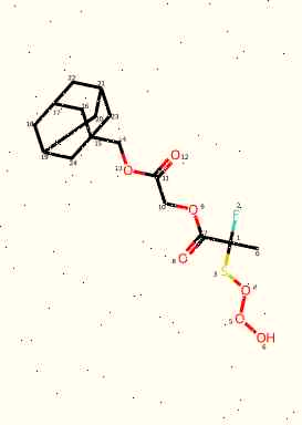 CC(F)(SOOO)C(=O)OCC(=O)OCC12CC3CC(CC(C3)C1)C2